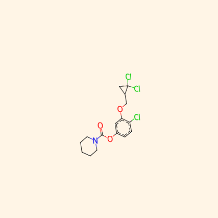 O=C(Oc1ccc(Cl)c(OCC2CC2(Cl)Cl)c1)N1CCCCC1